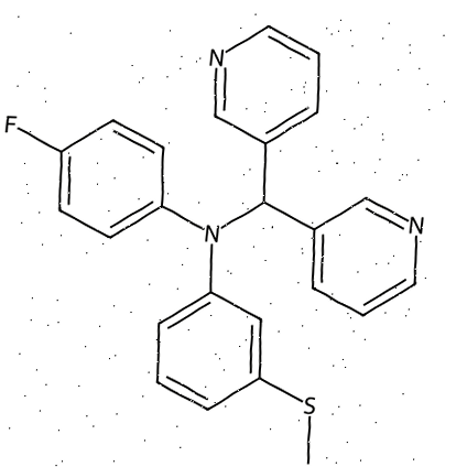 CSc1cccc(N(c2ccc(F)cc2)C(c2cccnc2)c2cccnc2)c1